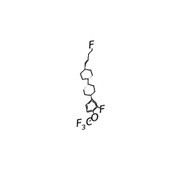 FCCC=C[C@H]1CC[C@H]([C@H]2CC[C@H](c3ccc(OC(F)(F)F)c(F)c3)CC2)CC1